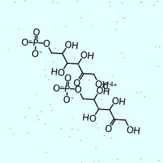 O=C(CO)C(O)C(O)C(O)COP(=O)([O-])[O-].O=C(CO)C(O)C(O)C(O)COP(=O)([O-])[O-].[C+4]